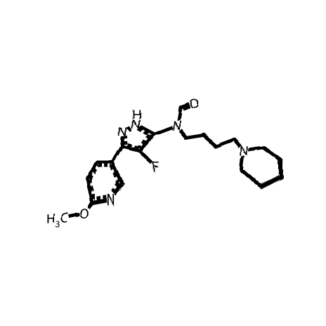 COc1ccc(-c2n[nH]c(N(C=O)CCCCN3CCCCC3)c2F)cn1